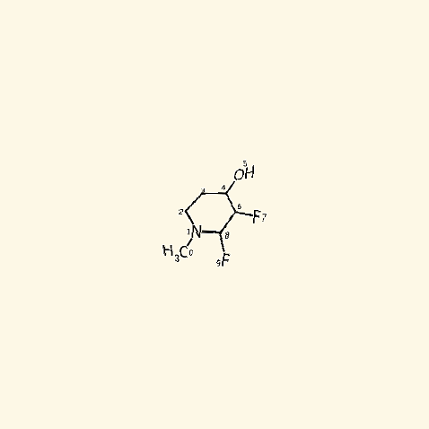 CN1CCC(O)C(F)C1F